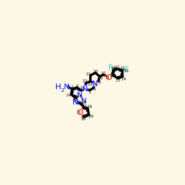 Nc1cc(N2CCN3CC(COc4ccc(F)cc4F)CCC3C2)n2nc(-c3ccco3)nc2c1